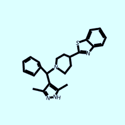 Cc1n[nH]c(C)c1C(c1ccccc1)N1CCC(c2nc3ccccc3s2)CC1